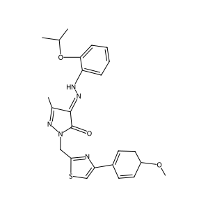 COC1C=CC(c2csc(CN3N=C(C)/C(=N\Nc4ccccc4OC(C)C)C3=O)n2)=CC1